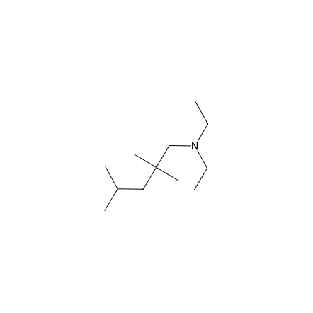 CCN(CC)CC(C)(C)CC(C)C